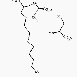 CC(C)C[C@H](N)C(=O)O.C[C@@H](NC(CCCCCCCCCN)C(=O)O)C(=O)O